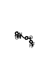 Cc1cccc2nc(CCc3ccc(C(=O)c4ccc(C(F)(F)F)cc4)cc3)n(C)c(=O)c12